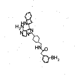 Bc1cccc(CC(=O)NCC2CCC(c3nc(-c4cc5ccccc5[nH]4)c4c(N)nccn34)CC2)c1